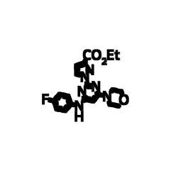 CCOC(=O)c1ccn(-c2nc(Nc3ccc(F)cc3)cc(N3CCOCC3)n2)n1